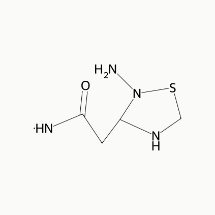 [NH]C(=O)CC1NCSN1N